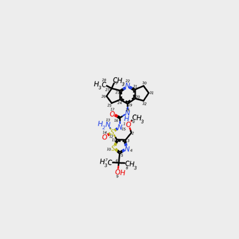 COCc1nc(C(C)(C)O)sc1S(N)(=O)=NC(=O)Nc1c2c(nc3c1CCC3(C)C)CCC2